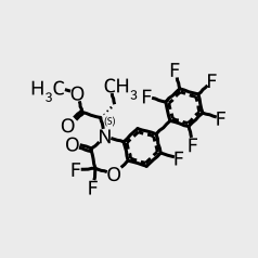 CC[C@@H](C(=O)OC)N1C(=O)C(F)(F)Oc2cc(F)c(-c3c(F)c(F)c(F)c(F)c3F)cc21